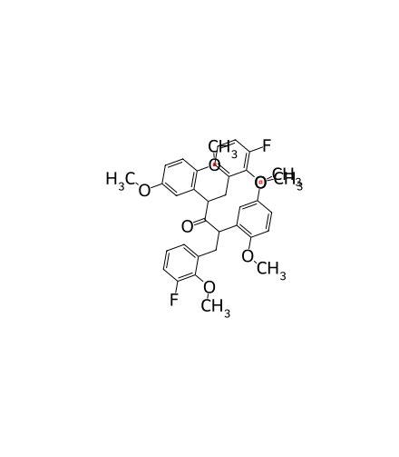 COc1ccc(OC)c(C(Cc2cccc(F)c2OC)C(=O)C(Cc2cccc(F)c2OC)c2cc(OC)ccc2OC)c1